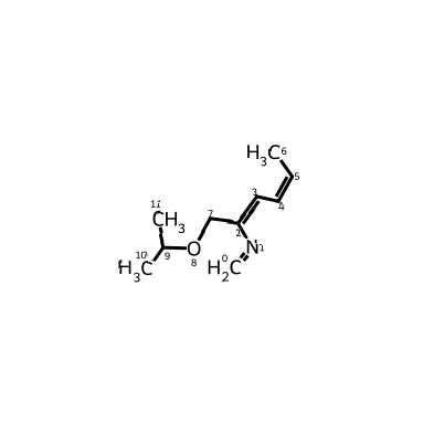 C=N/C(=C\C=C/C)COC(C)C